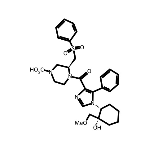 COC[C@]1(O)CCCC[C@H]1n1cnc(C(=O)N2CCN(C(=O)O)C[C@H]2CS(=O)(=O)c2ccccc2)c1-c1ccccc1